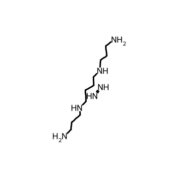 N=N.NCCCNCCCCNCCCN